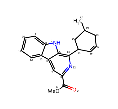 COC(=O)c1cc2c([nH]c3ccccc32)c(C2C=CCC(C)C2)n1